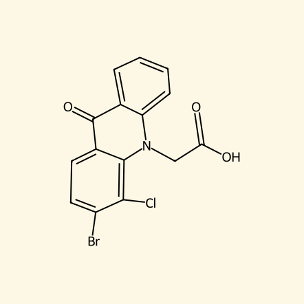 O=C(O)Cn1c2ccccc2c(=O)c2ccc(Br)c(Cl)c21